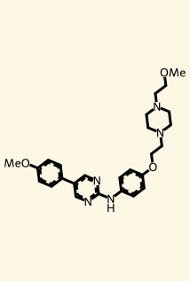 COCCN1CCN(CCOc2ccc(Nc3ncc(-c4ccc(OC)cc4)cn3)cc2)CC1